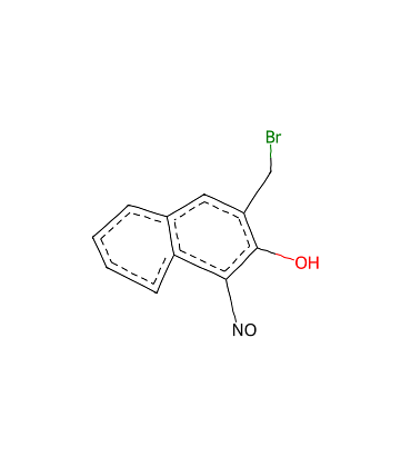 O=Nc1c(O)c(CBr)cc2ccccc12